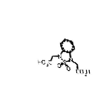 O=C(O)CN1c2ccccc2N(CC(=O)O)S1(=O)=O